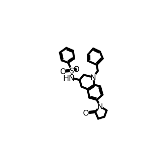 O=C1CCCN1c1ccc2c(c1)CC(NS(=O)(=O)c1ccccc1)CN2Cc1ccccc1